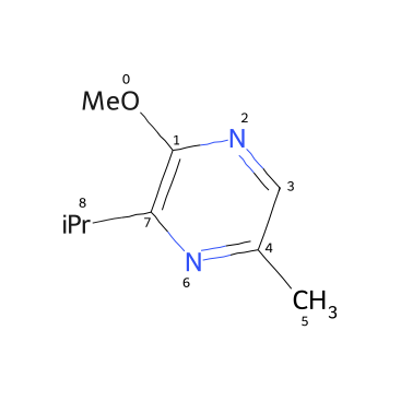 COc1ncc(C)nc1C(C)C